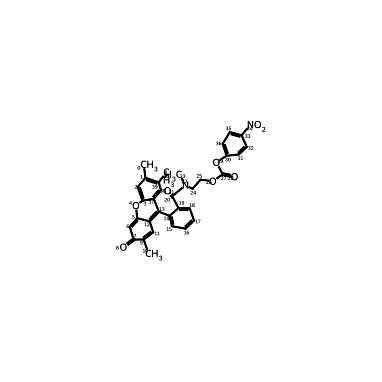 Cc1cc2oc3cc(=O)c(C)cc-3c(-c3ccccc3C(=O)N(C)CCOC(=O)Oc3ccc([N+](=O)[O-])cc3)c2cc1C